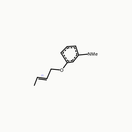 C/C=C/COc1cccc(NC)c1